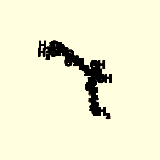 CCCCCCCC(=O)C=C[C@H]1C(O)CC(O)[C@@H]1CC=CCCCC(=O)OCCN(CC)CC